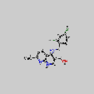 COc1ccc2c(NCc3ccc(Br)cc3F)c(CO)cnc2n1